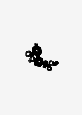 CCOC(=O)C(C)(C)c1ccc(OC)c(-c2ccc(C)cc2C=O)c1